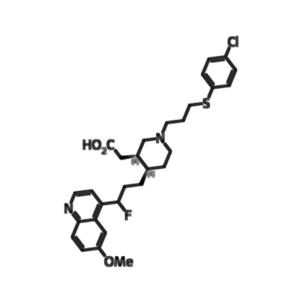 COc1ccc2nccc(C(F)CC[C@@H]3CCN(CCCSc4ccc(Cl)cc4)C[C@@H]3CC(=O)O)c2c1